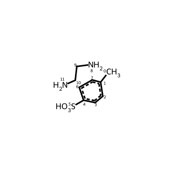 Cc1ccc(S(=O)(=O)O)cc1.NCCN